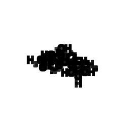 CC1O[C@@H](OC2[C@H](C)CCC[C@H]2O[C@@H]2OC(CO)[C@H](O)C3O[C@@H](C(=O)N(C)C)CCCOC32)[C@@H](O)C(O)[C@@H]1O